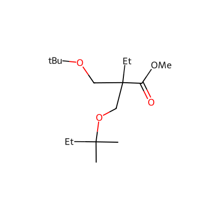 CCC(C)(C)OCC(CC)(COC(C)(C)C)C(=O)OC